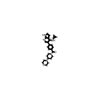 O=C(c1ccc(-c2cnc3[nH]ccc3c2NC2CC2)cc1)N1CCC(N2CCOCC2)CC1